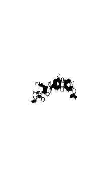 CCOC(=O)NC(=O)C(C#N)N(C)Nc1cc(Cl)c(Oc2ccc(OC(C)C)nc2)c(Cl)c1